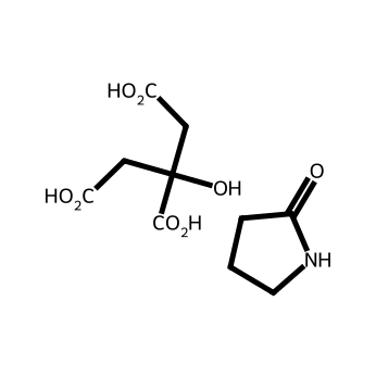 O=C(O)CC(O)(CC(=O)O)C(=O)O.O=C1CCCN1